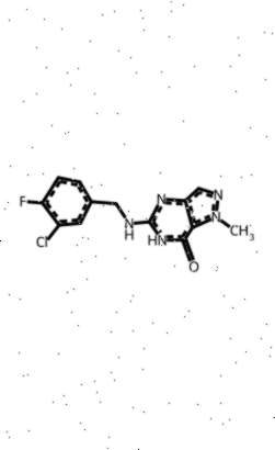 Cn1ncc2nc(NCc3ccc(F)c(Cl)c3)[nH]c(=O)c21